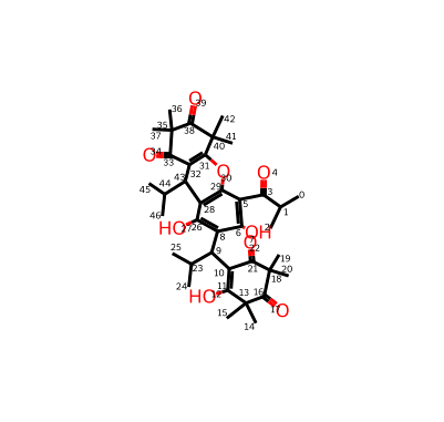 CC(C)C(=O)c1c(O)c(C(C2=C(O)C(C)(C)C(=O)C(C)(C)C2=O)C(C)C)c(O)c2c1OC1=C(C(=O)C(C)(C)C(=O)C1(C)C)C2C(C)C